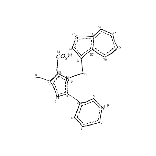 Cc1nc(-c2cccnc2)n(Cc2csc3ccccc23)c1C(=O)O